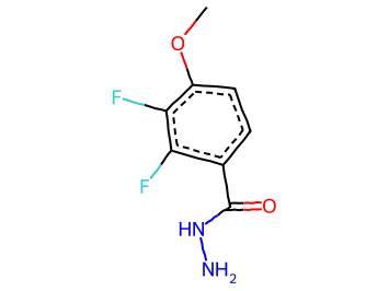 COc1ccc(C(=O)NN)c(F)c1F